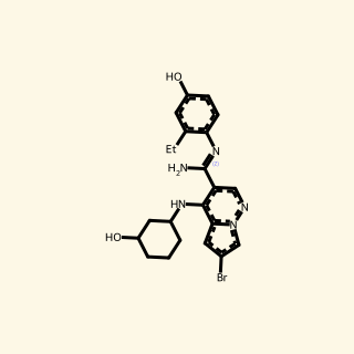 CCc1cc(O)ccc1/N=C(\N)c1cnn2cc(Br)cc2c1NC1CCCC(O)C1